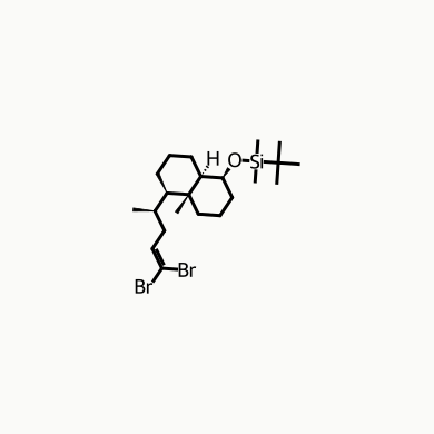 C[C@H](CC=C(Br)Br)[C@H]1CCC[C@H]2[C@@H](O[Si](C)(C)C(C)(C)C)CCC[C@]12C